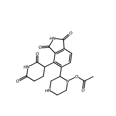 CC(=O)ON1CCNCC1c1ccc2c(c1C1CCC(=O)NC1=O)C(=O)NC2=O